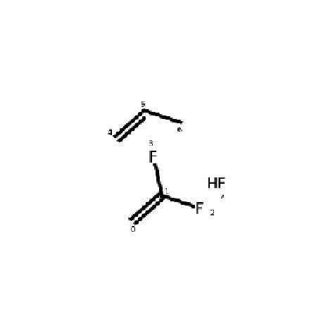 C=C(F)F.C=CC.F